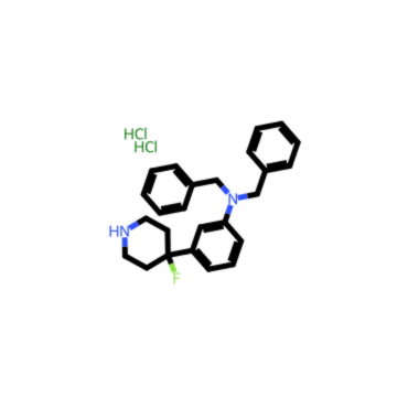 Cl.Cl.FC1(c2cccc(N(Cc3ccccc3)Cc3ccccc3)c2)CCNCC1